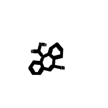 CNC(=O)N1c2ccccc2C=C(C#N)c2ccccc21